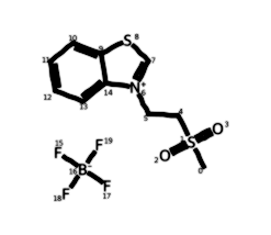 CS(=O)(=O)CC[n+]1csc2ccccc21.F[B-](F)(F)F